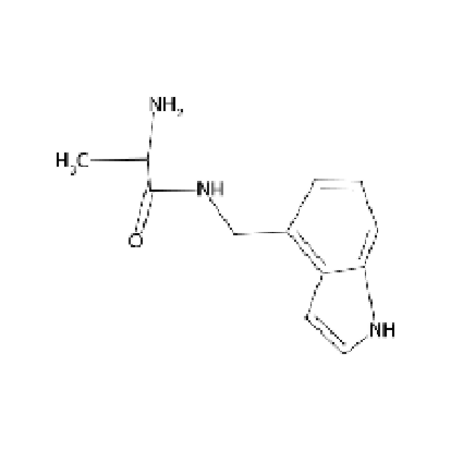 CC(N)C(=O)NCc1cccc2[nH]ccc12